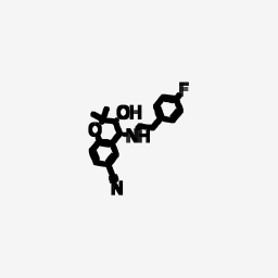 CC1(C)Oc2ccc(C#N)cc2[C@H](NCCc2ccc(F)cc2)[C@H]1O